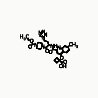 CCOC(=O)N1CCN(C(=O)C(CCn2cnnn2)NC(=O)c2cc(OC3(C(=O)O)CCC3)c3ccc(C)cc3n2)CC1